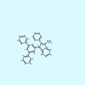 Cc1c(-c2ccccc2)n(-c2cc(-c3ccccc3)cc(-c3ccccc3)n2)c2ccccc12